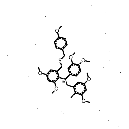 COc1ccc(CSCc2cc(OC)cc(OC)c2[C@H](Cc2cc(OC)cc(OC)c2C)c2ccc(OC)c(OC)c2)cc1